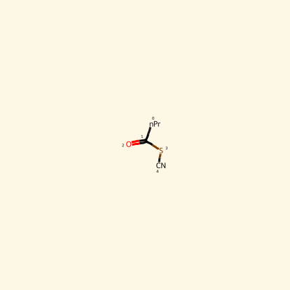 CCCC(=O)SC#N